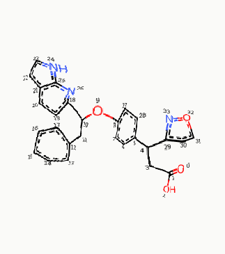 O=C(O)CC(c1ccc(OC(Cc2ccccc2)c2ccc3cc[nH]c3n2)cc1)c1ccon1